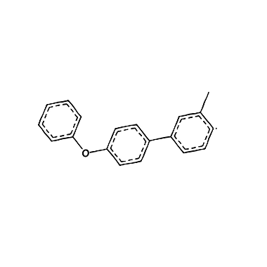 Cc1[c]ccc(-c2ccc(Oc3ccccc3)cc2)c1